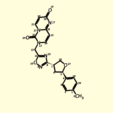 Cc1ccc([C@H]2C[C@H](c3noc(Cn4ccc5nc(=O)ccn5c4=O)n3)CO2)cc1